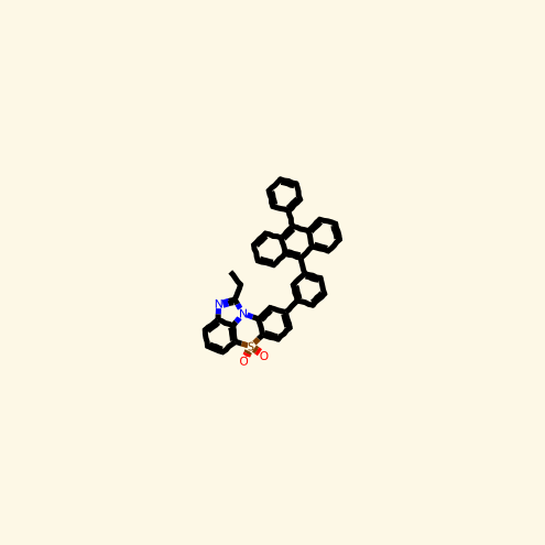 CCc1nc2cccc3c2n1-c1cc(-c2cccc(-c4c5ccccc5c(-c5ccccc5)c5ccccc45)c2)ccc1S3(=O)=O